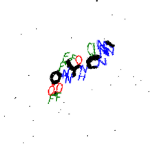 O=C(Nc1cnc(-n2nccn2)c(Cl)c1)c1cnn(-c2cccc3c2OC(F)(F)O3)c1C(F)(F)F